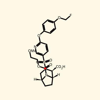 COCCOC(=O)N1[C@@H]2CC[C@H]1[C@H](C(=O)O)N(S(=O)(=O)c1ccc(Oc3ccc(OCF)cc3)nc1)C2